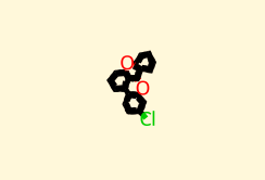 O=c1c2ccccc2oc2cccc(-c3ccc(Cl)cc3)c12